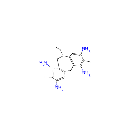 CCC1Cc2c(cc(N)c(C)c2N)Cc2c1cc(N)c(C)c2N